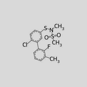 Cc1cccc(-c2cc(SN(C)S(C)(=O)=O)ccc2Cl)c1F